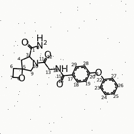 NC(=O)C1CC2(CCO2)CN1C(=O)CNC(=O)c1ccc(Oc2ccccc2)cc1